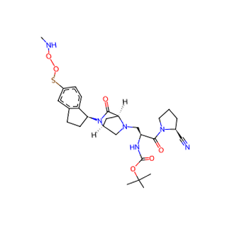 CNOOSc1ccc2c(c1)CC[C@@H]2N1C(=O)[C@@H]2C[C@H]1CN2C[C@H](NC(=O)OC(C)(C)C)C(=O)N1CCC[C@H]1C#N